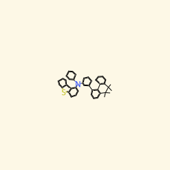 CC1(C)c2ccccc2-c2c(-c3cccc(N(c4ccccc4)c4cccc5sc6ccccc6c45)c3)cccc2C1(C)C